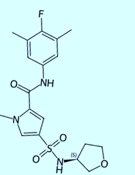 Cc1cc(NC(=O)c2cc(S(=O)(=O)N[C@H]3CCOC3)cn2C)cc(C)c1F